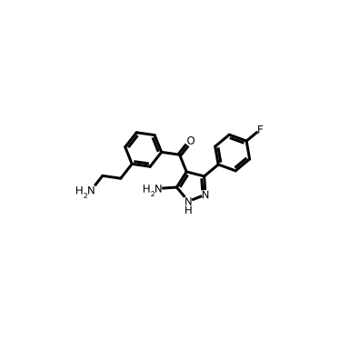 NCCc1cccc(C(=O)c2c(-c3ccc(F)cc3)n[nH]c2N)c1